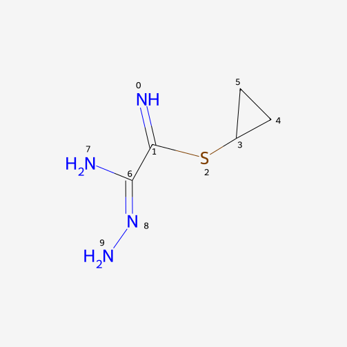 N=C(SC1CC1)C(N)=NN